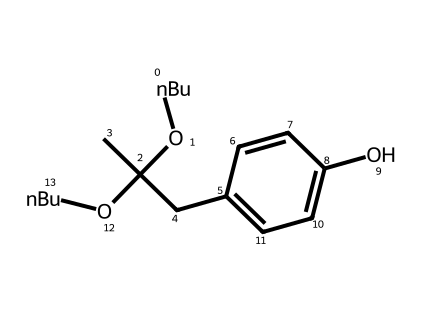 CCCCOC(C)(Cc1ccc(O)cc1)OCCCC